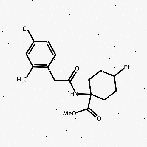 CCC1CCC(NC(=O)Cc2ccc(Cl)cc2C)(C(=O)OC)CC1